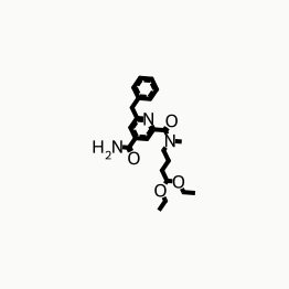 CCOC(CCCN(C)C(=O)c1cc(C(N)=O)cc(Cc2ccccc2)n1)OCC